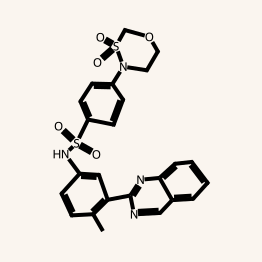 Cc1ccc(NS(=O)(=O)c2ccc(N3CCOCS3(=O)=O)cc2)cc1-c1ncc2ccccc2n1